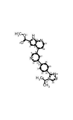 COC(=O)c1cc2c(-c3cncc(-c4ccc(-c5nncn5C(C)C)cc4)c3)ccnc2[nH]1